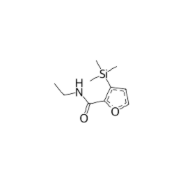 CCNC(=O)c1occc1[Si](C)(C)C